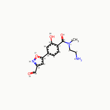 CN(CCN)C(=O)c1ccc(-c2cc(C=O)no2)cc1O